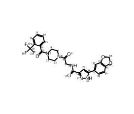 O=C(NCC(=O)N1CCN(C(=O)c2ccccc2C(F)(F)F)CC1)c1cc(-c2ccc3c(c2)OCO3)[nH]n1